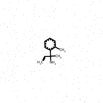 C=CC(C)(N)c1ccccc1C